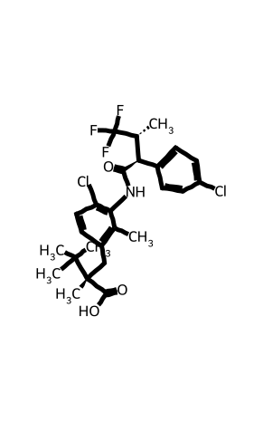 Cc1c(C[C@](C)(C(=O)O)C(C)(C)C)ccc(Cl)c1NC(=O)[C@H](c1ccc(Cl)cc1)[C@@H](C)C(F)(F)F